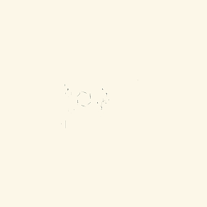 COc1cc(CNCCCCS)c([N+](=O)[O-])cc1O[CH2][Rf]